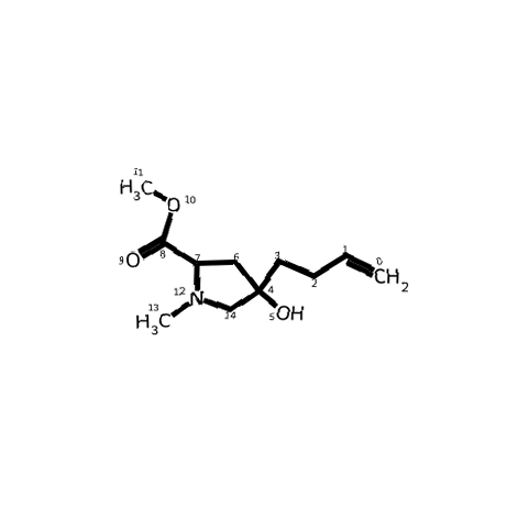 C=CCCC1(O)CC(C(=O)OC)N(C)C1